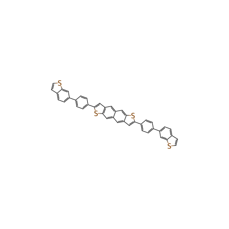 c1cc2ccc(-c3ccc(-c4cc5cc6cc7sc(-c8ccc(-c9ccc%10ccsc%10c9)cc8)cc7cc6cc5s4)cc3)cc2s1